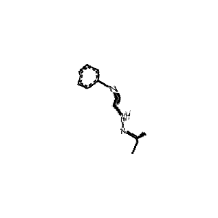 CC(C)=NN/C=N/c1ccccc1